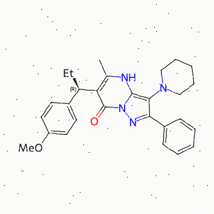 CC[C@H](c1ccc(OC)cc1)c1c(C)[nH]c2c(N3CCCCC3)c(-c3ccccc3)nn2c1=O